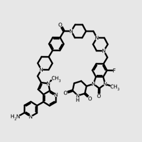 Cn1c(CN2CCC(c3ccc(C(=O)N4CCC(CN5CCN(Cc6ccc7c(c6F)n(C)c(=O)n7C6CCC(=O)NC6=O)CC5)CC4)cc3)CC2)cc2c(-c3ccc(N)nc3)ccnc21